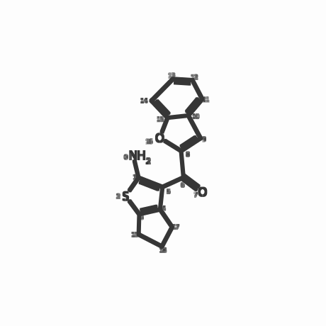 Nc1sc2c(c1C(=O)c1cc3ccccc3o1)CCC2